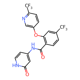 O=C(Nc1cc[nH]c(=O)c1)c1ccc(C(F)(F)F)cc1Oc1ccc(C(F)(F)F)nc1